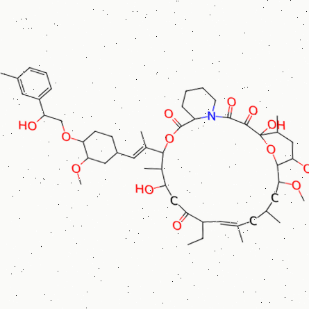 CCC1/C=C(\C)CC(C)CC(OC)C2OC(O)(C(=O)C(=O)N3CCCCC3C(=O)OC(C(C)=CC3CCC(OCC(O)c4cccc(C)c4)C(OC)C3)C(C)C(O)CC1=O)C(C)CC2OC